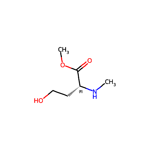 CN[C@H](CCO)C(=O)OC